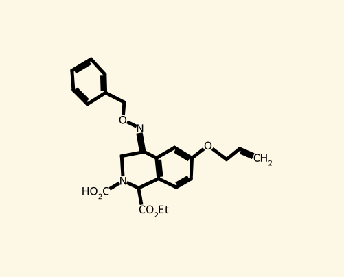 C=CCOc1ccc2c(c1)C(=NOCc1ccccc1)CN(C(=O)O)C2C(=O)OCC